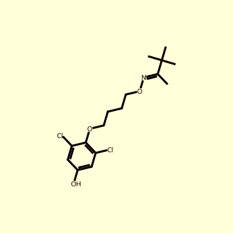 C/C(=N\OCCCCOc1c(Cl)cc(O)cc1Cl)C(C)(C)C